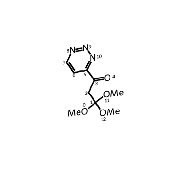 COC(CC(=O)c1ccnnn1)(OC)OC